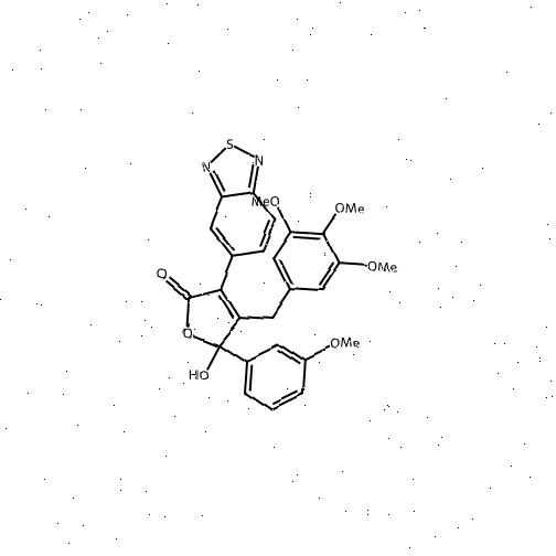 COc1cccc(C2(O)OC(=O)C(c3ccc4nsnc4c3)=C2Cc2cc(OC)c(OC)c(OC)c2)c1